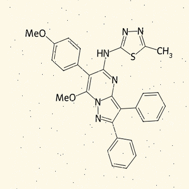 COc1ccc(-c2c(Nc3nnc(C)s3)nc3c(-c4ccccc4)c(-c4ccccc4)nn3c2OC)cc1